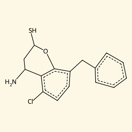 NC1CC(S)Oc2c(Cc3ccccc3)ccc(Cl)c21